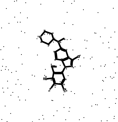 CNc1c(-n2nc(Cl)c3cc(N(C)C4CCOCC4)ccc32)cc(C(F)(F)F)c(F)c1O